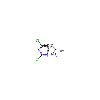 CC(C)[C@H](N)C(=O)O.Clc1ccnc(Cl)n1